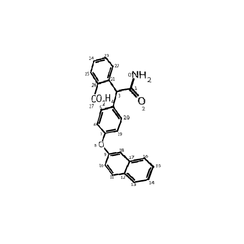 NC(=O)C(c1ccc(Oc2ccc3ccccc3c2)cc1)c1ccccc1C(=O)O